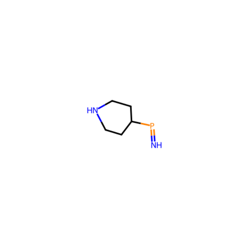 N=PC1CCNCC1